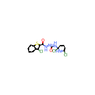 O=C(NNC(=O)c1sc2ccccc2c1Cl)NC1(Cl)C=CC=C(Cl)N1